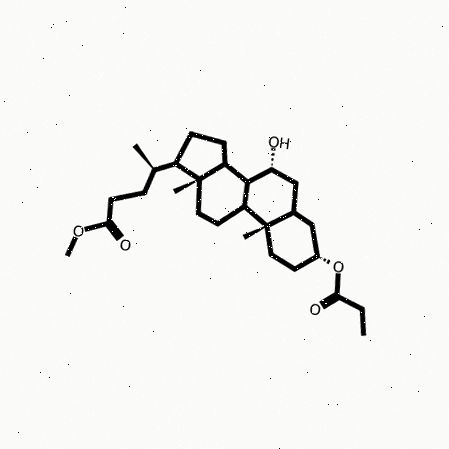 CCC(=O)O[C@@H]1CC[C@@]2(C)C(C1)C[C@@H](O)C1C2CC[C@@]2(C)C1CCC2[C@H](C)CCC(=O)OC